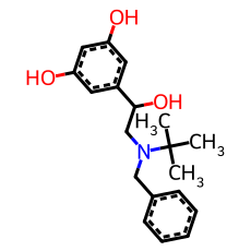 CC(C)(C)N(Cc1ccccc1)CC(O)c1cc(O)cc(O)c1